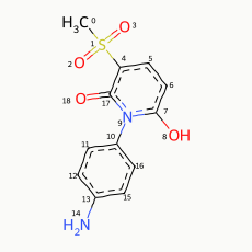 CS(=O)(=O)c1ccc(O)n(-c2ccc(N)cc2)c1=O